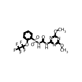 COc1nc(NC(=O)NS(=O)(=O)c2ccccc2OC(F)(F)C(F)(F)F)nc(OC)n1